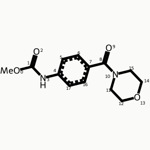 COC(=O)Nc1ccc(C(=O)N2CCOCC2)cc1